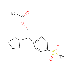 CCC(=O)OCC(c1ccc(S(=O)(=O)CC)cc1)C1CCCC1